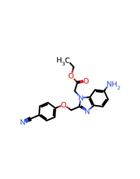 CCOC(=O)Cn1c(COc2ccc(C#N)cc2)nc2ccc(N)cc21